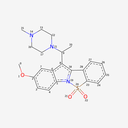 COc1ccc2c(c1)c(C(C)N1CCN(C)CC1)c1n2S(=O)(=O)c2ccccc2-1